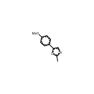 COc1ccc(-c2cnc(C)o2)cc1